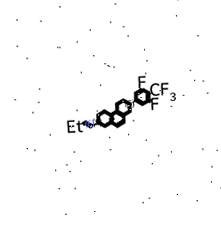 CC/C=C/[C@H]1CCc2c(ccc3c2CC[C@H](c2cc(F)c(C(F)(F)F)c(F)c2)C3)C1